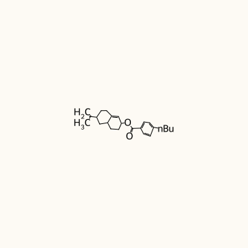 C=C(C)C1CCC2=CC(OC(=O)c3ccc(CCCC)cc3)CCC2C1